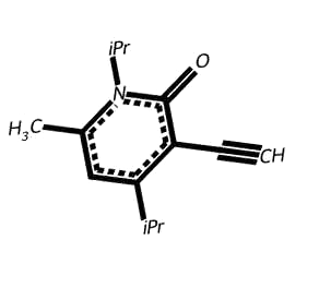 C#Cc1c(C(C)C)cc(C)n(C(C)C)c1=O